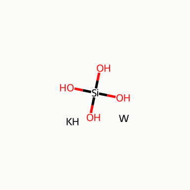 O[Si](O)(O)O.[KH].[W]